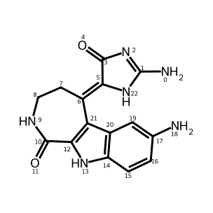 NC1=NC(=O)C(=C2CCNC(=O)c3[nH]c4ccc(N)cc4c32)N1